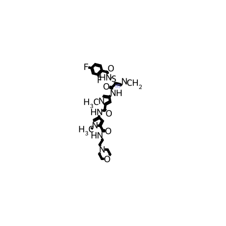 C=N/C=C(\SNC(=O)c1ccc(F)cc1F)C(=O)Nc1cc(C(=O)Nc2cc(C(=O)NCCN3CCOCC3)n(C)c2)n(C)c1